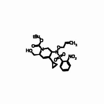 C=CCON(C1CN(C(=O)OC(C)(C)C)[C@H](CO)C=C1C1CC1)S(=O)(=O)c1ccccc1[N+](=O)[O-]